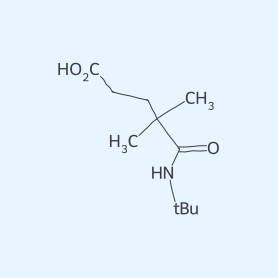 CC(C)(C)NC(=O)C(C)(C)CCC(=O)O